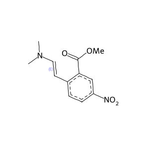 COC(=O)c1cc([N+](=O)[O-])ccc1/C=C/N(C)C